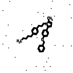 CCCCCc1ccc(CCCn2c(C)ccc2-c2ccc(OCc3ccccc3)cc2)cc1